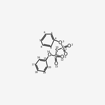 O=S(=O)(Oc1ccccc1)SS(=O)(=O)Oc1ccccc1